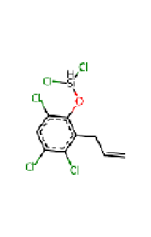 C=CCc1c(Cl)c(Cl)cc(Cl)c1O[SiH](Cl)Cl